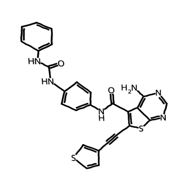 Nc1ncnc2sc(C#Cc3ccsc3)c(C(=O)Nc3ccc(NC(=O)Nc4ccccc4)cc3)c12